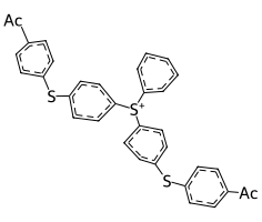 CC(=O)c1ccc(Sc2ccc([S+](c3ccccc3)c3ccc(Sc4ccc(C(C)=O)cc4)cc3)cc2)cc1